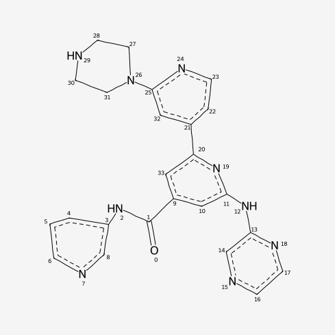 O=C(Nc1cccnc1)c1cc(Nc2cnccn2)nc(-c2ccnc(N3CCNCC3)c2)c1